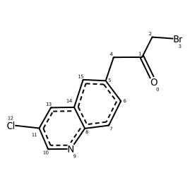 O=C(CBr)Cc1ccc2ncc(Cl)cc2c1